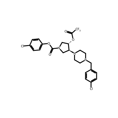 O=C(Oc1ccc(Cl)cc1)N1C[C@H](OC(=O)C(F)(F)F)[C@@H](N2CCN(Cc3ccc(Cl)cc3)CC2)C1